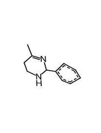 CC1=NC(c2ccccc2)NCC1